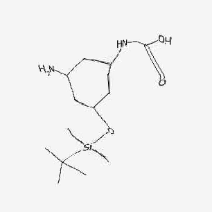 CC(C)(C)[Si](C)(C)OC1CC(N)CC(NC(=O)O)C1